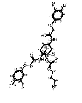 O=C(COc1ccc(Cl)c(F)c1)NC12CCC(NC(=O)COc3ccc(Cl)c(F)c3)(CC1)[C@H](OC(=O)OCCCBr)C2